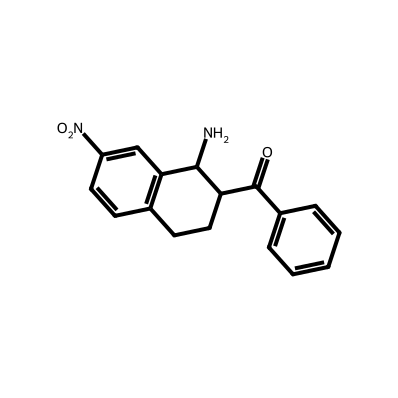 NC1c2cc([N+](=O)[O-])ccc2CCC1C(=O)c1ccccc1